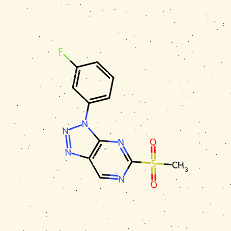 CS(=O)(=O)c1ncc2nnn(-c3cccc(F)c3)c2n1